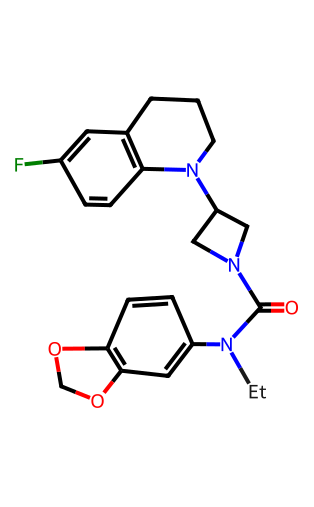 CCN(C(=O)N1CC(N2CCCc3cc(F)ccc32)C1)c1ccc2c(c1)OCO2